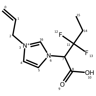 C=CC[n+]1ccn(C(C(=O)O)C(F)(F)CC)c1